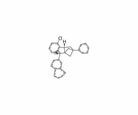 O=C(c1ccc2ccccc2c1)C12CC(c3ccccc3)(C[C@H]1c1ncccc1Cl)C2